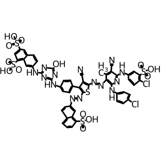 Cc1c(C#N)c(Nc2ccc(Cl)c(S(=O)(=O)O)c2)nc(Nc2ccc(Cl)cc2)c1N=Nc1sc(N=Nc2ccc3cccc(S(=O)(=O)O)c3c2)c(-c2ccc(Nc3nc(O)nc(Nc4ccc5cc(S(=O)(=O)O)cc(S(=O)(=O)O)c5c4)n3)cc2)c1C#N